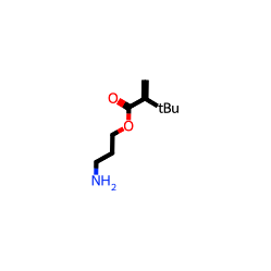 C=C(C(=O)OCCCN)C(C)(C)C